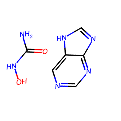 NC(=O)NO.c1ncc2[nH]cnc2n1